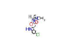 CN(C)C1=NC(=O)C(Cc2c[nH]c3ccc(Cl)cc23)O1